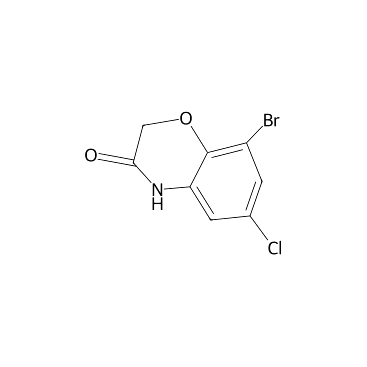 O=C1COc2c(Br)cc(Cl)cc2N1